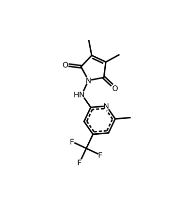 CC1=C(C)C(=O)N(Nc2cc(C(F)(F)F)cc(C)n2)C1=O